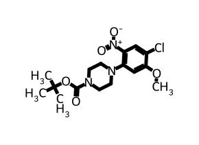 COc1cc(N2CCN(C(=O)OC(C)(C)C)CC2)c([N+](=O)[O-])cc1Cl